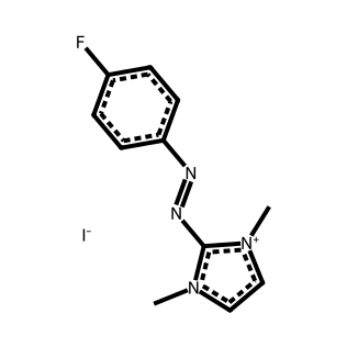 Cn1cc[n+](C)c1N=Nc1ccc(F)cc1.[I-]